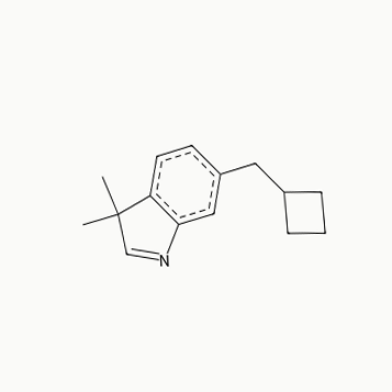 CC1(C)C=Nc2cc(CC3CCC3)ccc21